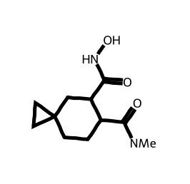 CNC(=O)C1CCC2(CC2)CC1C(=O)NO